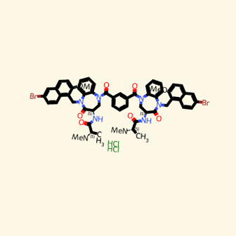 CN[C@@H](C)C(=O)N[C@H]1CN(C(=O)c2cccc(C(=O)N3C[C@H](NC(=O)[C@H](C)NC)C(=O)N(Cc4c(OC)ccc5cc(Br)ccc45)c4ccccc43)c2)c2ccccc2N(Cc2c(OC)ccc3cc(Br)ccc23)C1=O.Cl.Cl